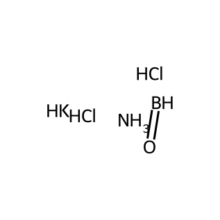 B=O.Cl.Cl.N.[KH]